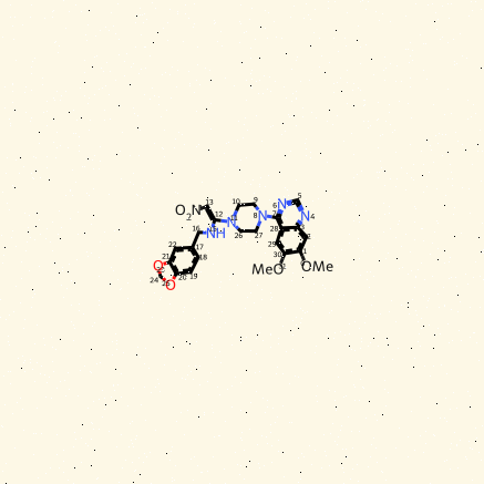 COc1cc2ncnc(N3CCN(C(=C[N+](=O)[O-])NCc4ccc5c(c4)OCO5)CC3)c2cc1OC